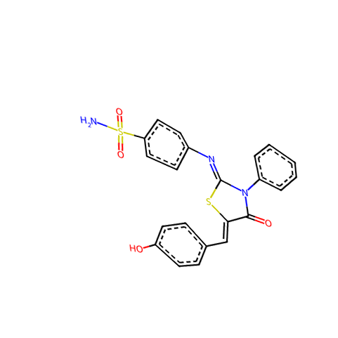 NS(=O)(=O)c1ccc(/N=C2\SC(=Cc3ccc(O)cc3)C(=O)N2c2ccccc2)cc1